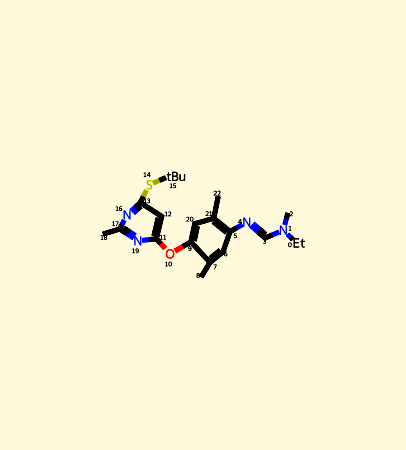 CCN(C)C=Nc1cc(C)c(Oc2cc(SC(C)(C)C)nc(C)n2)cc1C